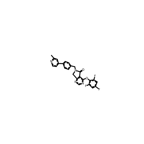 Cc1cc(-c2ccc(CN3Cc4ncnc(Oc5c(F)cc(F)cc5F)c4C3=O)cc2)ccn1